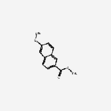 CCCCOC(=O)c1ccc2cc(OCCCC)ccc2c1